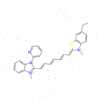 CCc1ccc2c(c1)S\C(=C/C=C/C=C/C=C/c1n(-c3ccccn3)c3ccccc3[n+]1C)N2C